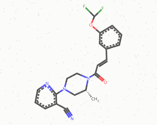 C[C@@H]1CN(c2ncccc2C#N)CCN1C(=O)/C=C/c1cccc(OC(F)F)c1